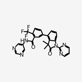 CC1(C)C(=O)N(c2ncccn2)c2cccc(-c3ccc(C(F)(F)F)c(C(=O)Nc4cncnc4)c3)c21